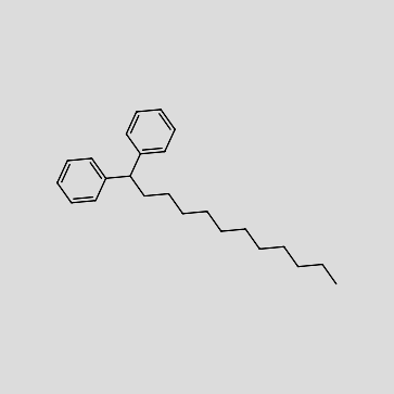 CCCCCCCCCCCC(c1ccccc1)c1ccccc1